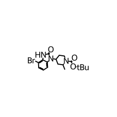 CC1CC(n2c(=O)[nH]c3c(Br)cccc32)CCN1C(=O)OC(C)(C)C